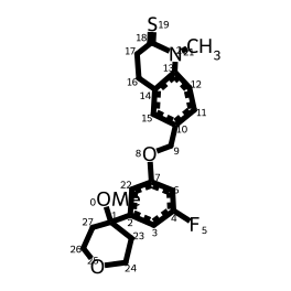 COC1(c2cc(F)cc(OCc3ccc4c(c3)CCC(=S)N4C)c2)CCOCC1